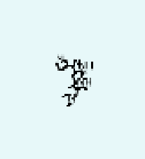 CCN(CC)Cc1c(C)[nH]c(C=C2C(=O)NN=C2c2cccnc2)c1C